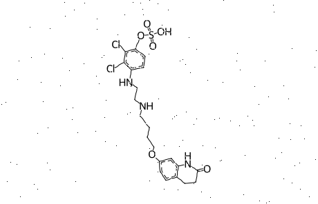 O=C1CCc2ccc(OCCCCNCCNc3ccc(OS(=O)(=O)O)c(Cl)c3Cl)cc2N1